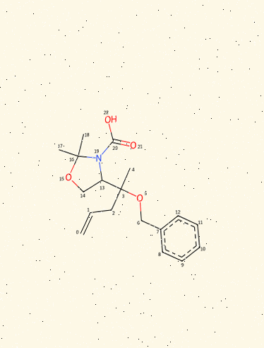 C=CCC(C)(OCc1ccccc1)C1COC(C)(C)N1C(=O)O